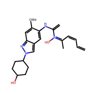 C=C/C=C\C(C)=[N+](\O)C(=C)Nc1cc2cn(C3CCC(O)CC3)nc2cc1OC